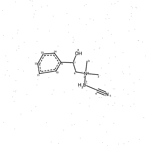 C[N+](C)([BH2-]C#N)CC(O)c1ccccc1